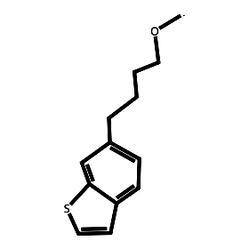 [CH2]OCCCCc1ccc2ccsc2c1